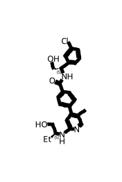 CC[C@@H](CO)Nc1cc(-c2ccc(C(=O)N[C@H](CO)c3cccc(Cl)c3)cc2)c(C)cn1